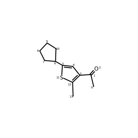 CC(=O)c1cc(C2CCCC2)sc1C